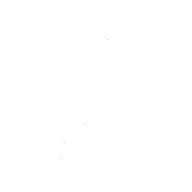 Cc1cccc(C#CCCc2ccn3nc(C)cc3n2)n1